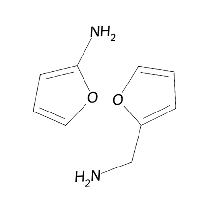 NCc1ccco1.Nc1ccco1